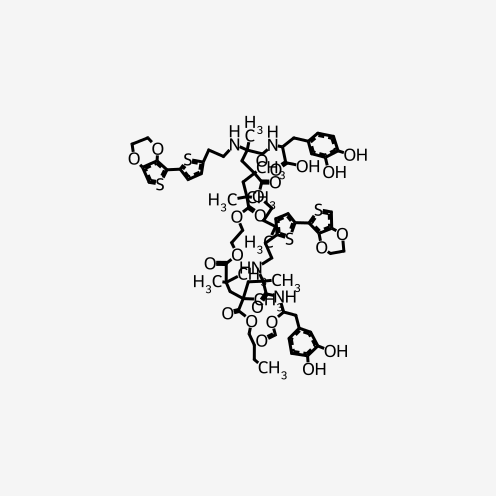 CCCCOC(=O)C(C)(CC(C)(C)C(=O)OCCOC(=O)C(C)(C)CC(C)(CC(C)(NCCc1ccc(-c2scc3c2OCCO3)s1)C(=O)NC(Cc1ccc(O)c(O)c1)C(=O)O)C(=O)OCCCC)CC(C)(NCCc1ccc(-c2scc3c2OCCO3)s1)C(=O)NC(Cc1ccc(O)c(O)c1)OC=O